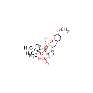 COc1ccc(CN([C@H]2CCN(C(=O)O)[C@H]2CO[Si](C)(C)C(C)(C)C)S(C)(=O)=O)cc1